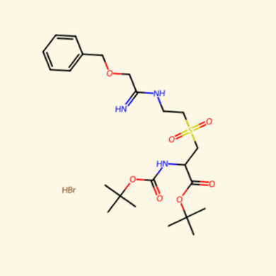 Br.CC(C)(C)OC(=O)NC(CS(=O)(=O)CCNC(=N)COCc1ccccc1)C(=O)OC(C)(C)C